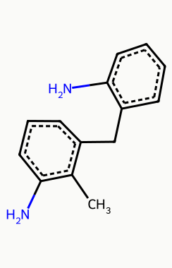 Cc1c(N)cccc1Cc1ccccc1N